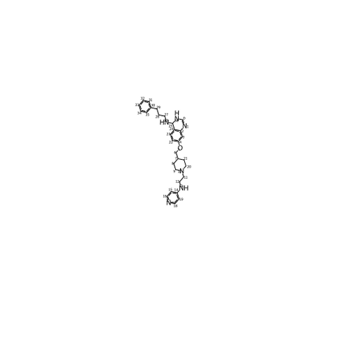 C1=Nc2cc(OCC3CCN(CCNc4ccncc4)CC3)ccc2C(NCCCc2ccccc2)N1